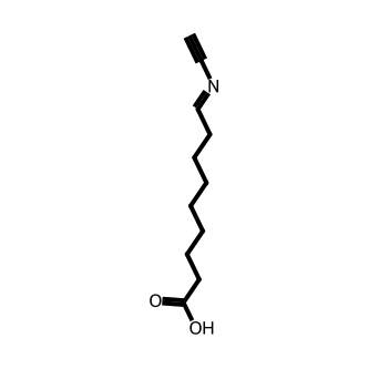 C#C/N=C/CCCCCCCC(=O)O